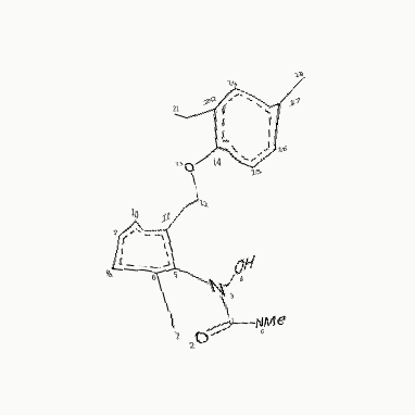 CNC(=O)N(O)c1c(I)cccc1COc1ccc(C)cc1C